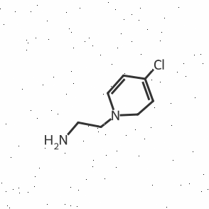 NCCN1C=CC(Cl)=CC1